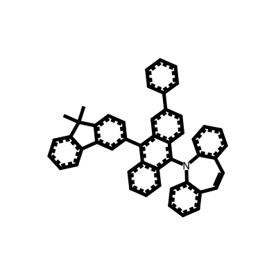 CC1(C)c2ccccc2-c2cc(-c3c4ccccc4c(N4c5ccccc5C=Cc5ccccc54)c4ccc(-c5ccccc5)cc34)ccc21